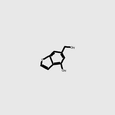 OCc1cc(O)c2ccsc2c1